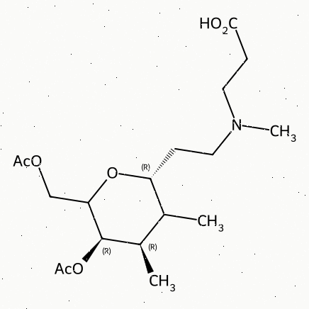 CC(=O)OCC1O[C@H](CCN(C)CCC(=O)O)C(C)[C@@H](C)[C@H]1OC(C)=O